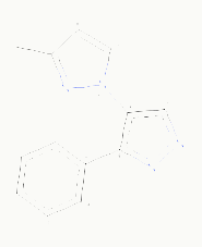 CC1=N[N+](c2c[nH]nc2-c2ccccc2)C=C1